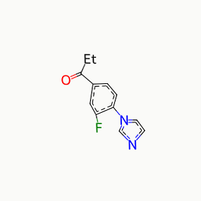 CCC(=O)c1ccc(-n2ccnc2)c(F)c1